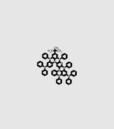 CC(C)(C)c1cc2c3c(c1)N(c1ccccc1)c1nc4c(cc1B3c1ccc(N(c3ccccc3)c3ccccc3)cc1N2c1ccccc1)B1c2ccccc2N(c2ccccc2)c2cc(N(c3ccccc3)c3ccccc3)cc(c21)N4c1ccccc1